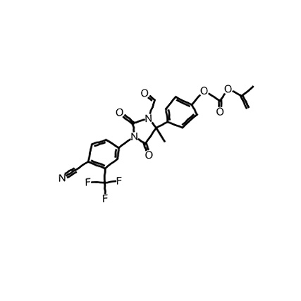 C=C(C)OC(=O)Oc1ccc(C2(C)C(=O)N(c3ccc(C#N)c(C(F)(F)F)c3)C(=O)N2C=O)cc1